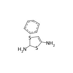 NC1=CSC(N)S1.c1ccccc1